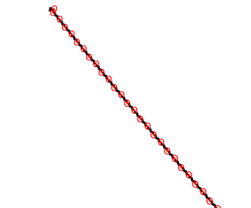 C=C(C)C(=O)OCCCCOCCCCOCCCCOCCCCOCCCCOCCCCOCCCCOCCCCOCCCCOCCCCOCCCCOCCCCOCCCCOCCCCOCCCCOCCCCOCCCCOCCCCOCCCCOCCCCOCCCCOCCCCOCCCCOCCCCOCCCCOC(=O)C(=C)C